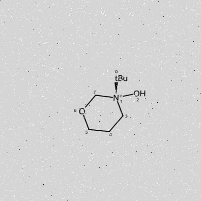 CC(C)(C)[N@@+]1(O)CCCOC1